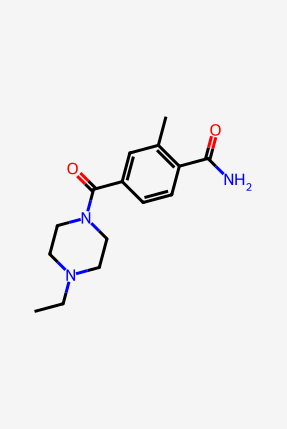 CCN1CCN(C(=O)c2ccc(C(N)=O)c(C)c2)CC1